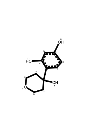 Oc1ccc(C2(O)CCOCC2)c(O)c1